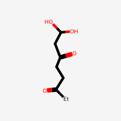 CCC(=O)CCC(=O)CC(O)O